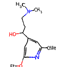 CCOc1cc(C(O)CCN(C)C)cc(OC)n1